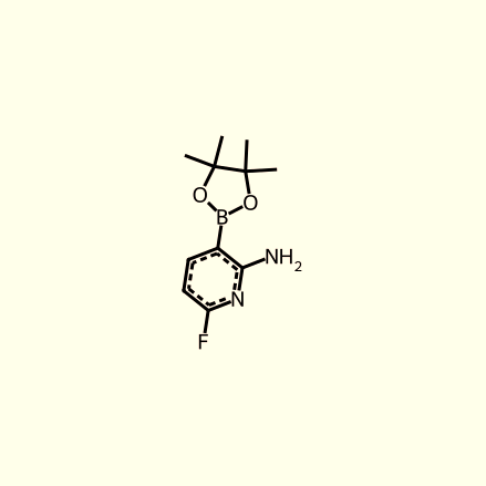 CC1(C)OB(c2ccc(F)nc2N)OC1(C)C